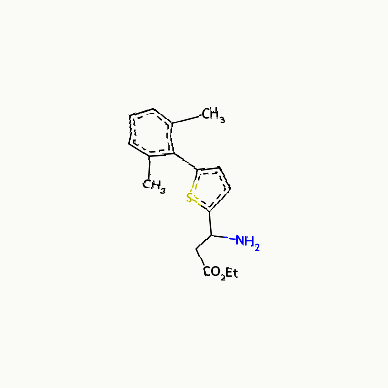 CCOC(=O)CC(N)c1ccc(-c2c(C)cccc2C)s1